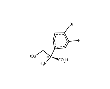 CC(C)(C)C[C@](N)(C(=O)O)c1ccc(Br)c(F)c1